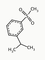 CC(C)c1cccc(S(C)(=O)=O)c1